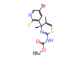 CC1=CSC(NC(=O)OC(C)(C)C)=N[C@]1(C)c1cc(Br)cnc1F